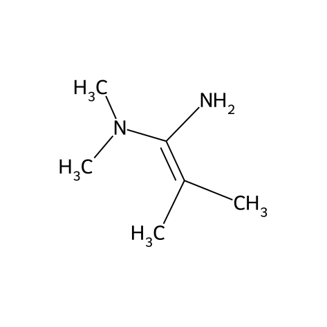 CC(C)=C(N)N(C)C